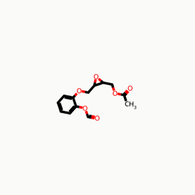 CC(=O)OCC1OC1COc1ccccc1OC=O